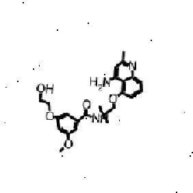 COc1cc(OCCO)cc(C(=O)NC(C)(C)COc2cccc3nc(C)cc(N)c23)c1